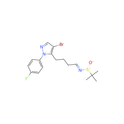 CC(C)(C)[S@@+]([O-])/N=C/CCCc1c(Br)cnn1-c1ccc(F)cc1